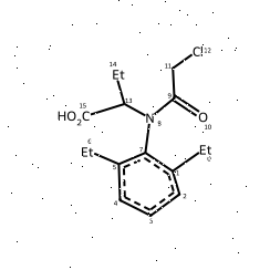 CCc1cccc(CC)c1N(C(=O)CCl)C(CC)C(=O)O